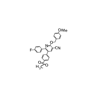 COc1ccc(COc2nc(-c3ccc(F)cc3)c(-c3ccc(S(C)(=O)=O)cc3)cc2C#N)cc1